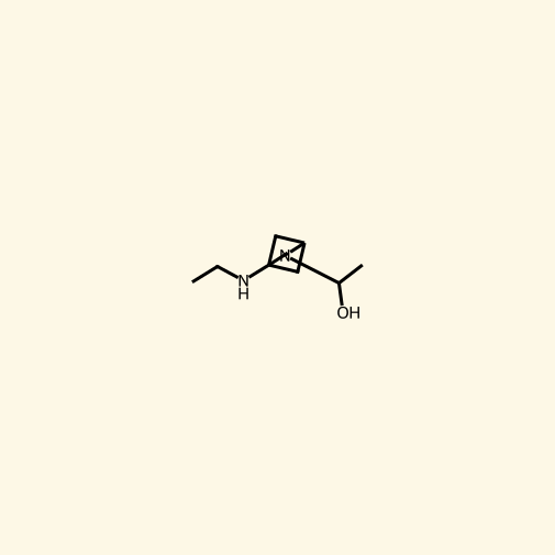 CCNC12CC(C1)N(C(C)O)C2